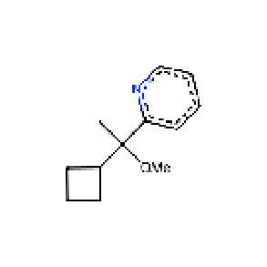 COC(C)(c1ccccn1)C1CCC1